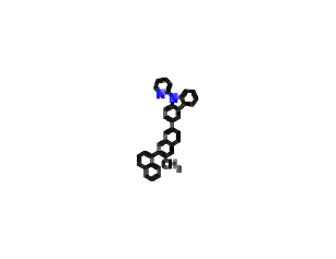 Cc1cc2ccc(-c3ccc4c(c3)c3ccccc3n4-c3ccccn3)cc2cc1-c1cccc2ccccc12